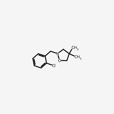 CC1(C)[CH]N(Cc2ccccc2Cl)OC1